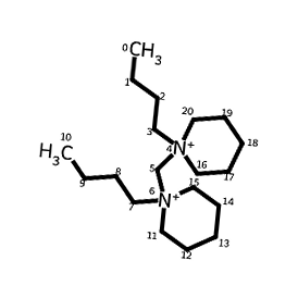 CCCC[N+]1(C[N+]2(CCCC)CCCCC2)CCCCC1